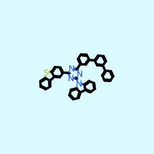 c1ccc(-c2cccc(-c3cccc(-c4nc(-c5ccc6sc7ccccc7c6c5)nc(-n5c6ccccc6c6ccccc65)n4)c3)c2)cc1